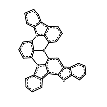 c1cc2c3c(c1)-n1c4ccccc4c4c5sc6ccccc6c5cc(c41)B3c1cccc3c4ccccc4n-2c13